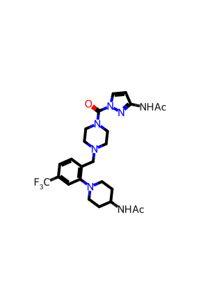 CC(=O)Nc1ccn(C(=O)N2CCN(Cc3ccc(C(F)(F)F)cc3N3CCC(NC(C)=O)CC3)CC2)n1